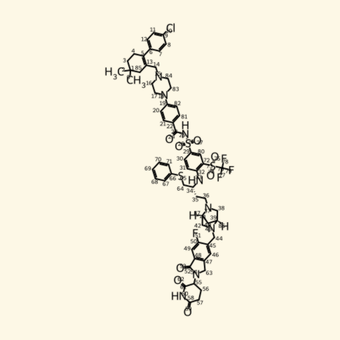 CC1(C)CCC(c2ccc(Cl)cc2)=C(CN2CCN(c3ccc(C(=O)NS(=O)(=O)c4ccc(N[C@H](CCN5C[C@H]6C[C@@H]5CN6Cc5cc6c(cc5F)C(=O)N(C5CCC(=O)NC5=O)C6)CSc5ccccc5)c(S(=O)(=O)C(F)(F)F)c4)cc3)CC2)C1